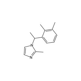 Cc1cccc(C(C)n2ccnc2C)c1C